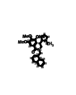 COc1cc(C(=O)N(CCC2CCCN2C)Cc2cccc3ccccc23)cc(OC)c1OC